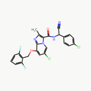 Cc1nc2c(OCc3c(F)cccc3F)cc(Cl)cn2c1C(=O)NC(C#N)c1ccc(Cl)cc1